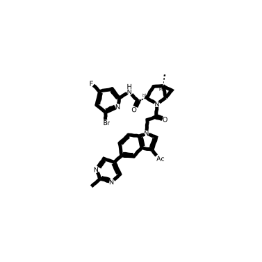 CC(=O)c1cn(CC(=O)N2C3C[C@]3(C)C[C@H]2C(=O)Nc2cc(F)cc(Br)n2)c2ccc(-c3cnc(C)nc3)cc12